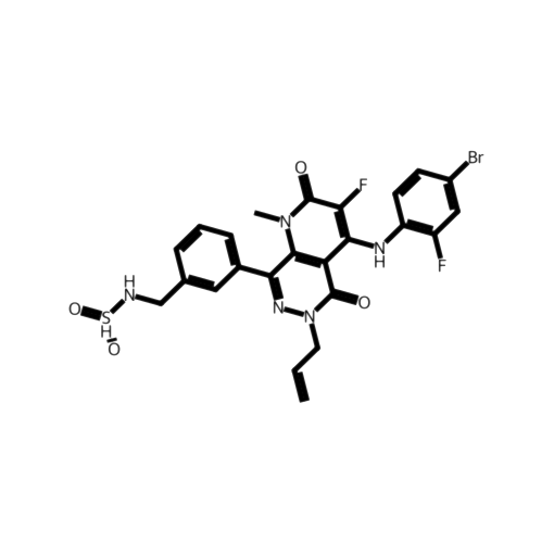 C=CCn1nc(-c2cccc(CN[SH](=O)=O)c2)c2c(c(Nc3ccc(Br)cc3F)c(F)c(=O)n2C)c1=O